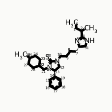 CCC(C)C1=N[C@@H](CCCCN2C[C@@H](c3ccccc3)N(CC3CCC(C)CC3)C2=S)CN1